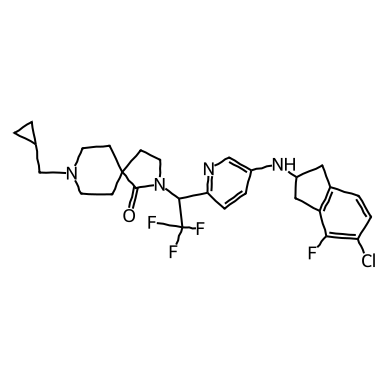 O=C1N(C(c2ccc(NC3Cc4ccc(Cl)c(F)c4C3)cn2)C(F)(F)F)CCC12CCN(CC1CC1)CC2